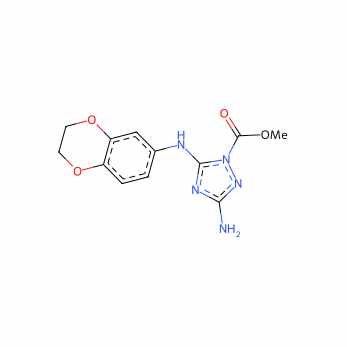 COC(=O)n1nc(N)nc1Nc1ccc2c(c1)OCCO2